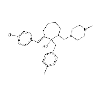 Cc1ccc(CC2(O)C(=Cc3ccc(Cl)cc3)CCCCC2CN2CCN(C)CC2)cc1